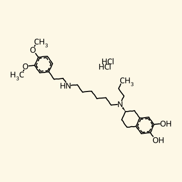 CCCN(CCCCCCNCCc1ccc(OC)c(OC)c1)[C@@H]1CCc2cc(O)c(O)cc2C1.Cl.Cl